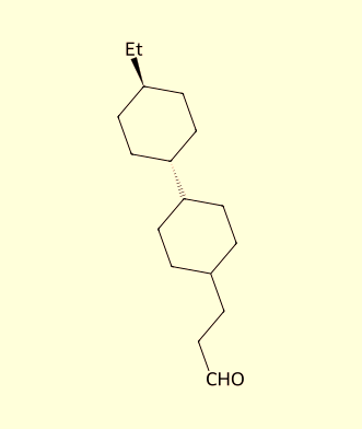 CC[C@H]1CC[C@H](C2CCC(CCC=O)CC2)CC1